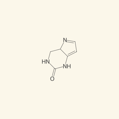 O=C1NCC2N=CC=C2N1